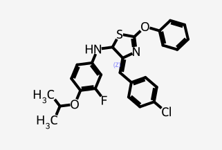 CC(C)Oc1ccc(NC2SC(Oc3ccccc3)=N/C2=C\c2ccc(Cl)cc2)cc1F